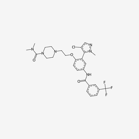 CN(C)C(=O)N1CCN(CCOc2ccc(NC(=O)c3cccc(C(F)(F)F)c3)cc2-c2c(Cl)cnn2C)CC1